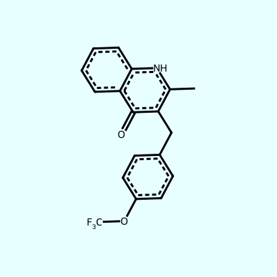 Cc1[nH]c2ccccc2c(=O)c1Cc1ccc(OC(F)(F)F)cc1